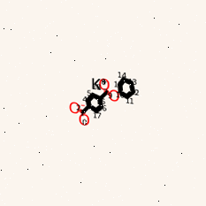 O=C([O-])c1ccc(C(=O)Oc2ccccc2)cc1.[K+]